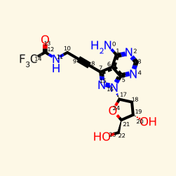 Nc1ncnc2c1c(C#CCNC(=O)C(F)(F)F)nn2[C@@H]1C[C@H](O)[C@@H](CO)O1